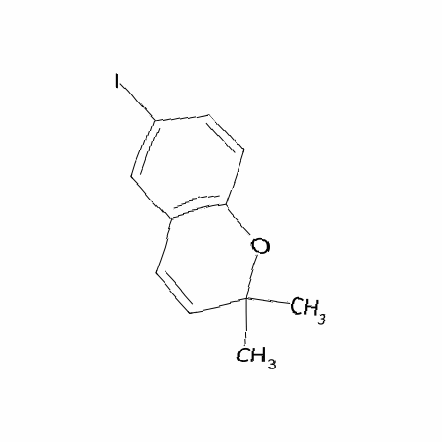 CC1(C)C=Cc2cc(I)ccc2O1